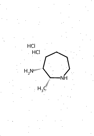 C[C@H]1NCCCC[C@H]1N.Cl.Cl